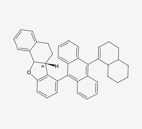 C1=C(c2c3ccccc3c(-c3cccc4c3[C@H]3CCc5ccccc5C3O4)c3ccccc23)C2CCCCC2CC1